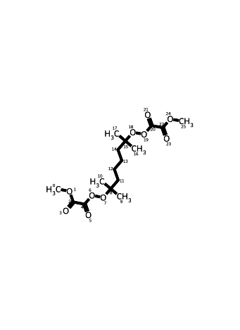 COC(=O)C(=O)OOC(C)(C)CCCCC(C)(C)OOC(=O)C(=O)OC